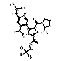 CC1CCCN1C(=O)c1nc(C(=O)NCC(C)(C)O)sc1-c1cnc(N[C@H](C)C(F)(F)F)cc1C(F)F